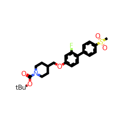 CC(C)(C)OC(=O)N1CCC(COc2ccc(-c3ccc(S(C)(=O)=O)cc3)c(F)c2)CC1